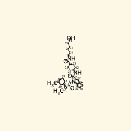 CCN(C(=O)Cn1c(C(=O)N[C@H]2CC[C@H](C(=O)NCCCCCCO)CC2)cc2sccc21)c1cccc(C)c1